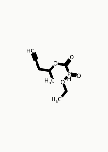 C#CCC(C)OC(=O)[PH](=O)OCC